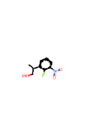 [CH2]C(CO)c1cccc([N+](=O)[O-])c1F